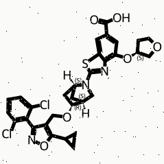 O=C(O)c1cc(O[C@H]2CCOC2)c2nc(N3C[C@@H]4C[C@H]3C[C@H]4OCc3c(-c4c(Cl)cccc4Cl)noc3C3CC3)sc2c1